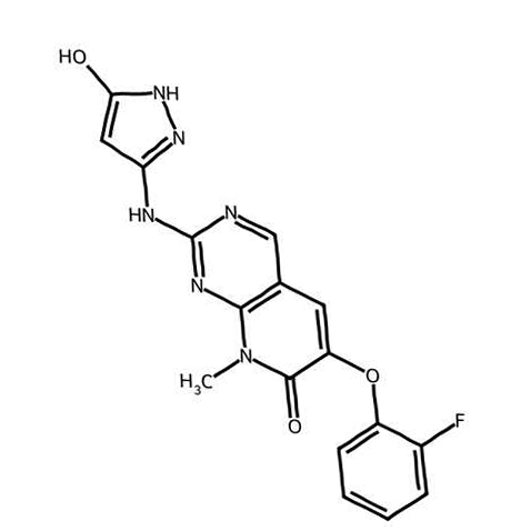 Cn1c(=O)c(Oc2ccccc2F)cc2cnc(Nc3cc(O)[nH]n3)nc21